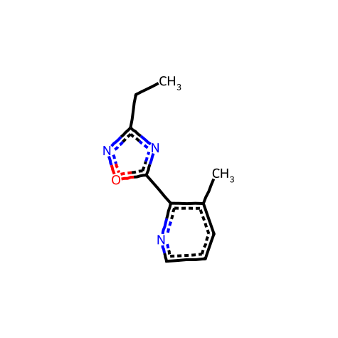 CCc1noc(-c2ncccc2C)n1